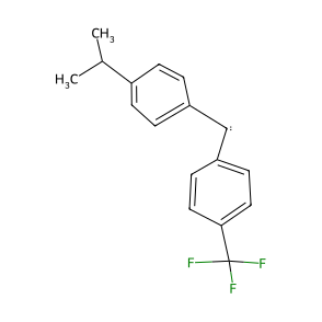 CC(C)c1ccc([C]c2ccc(C(F)(F)F)cc2)cc1